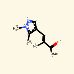 COC(=O)/C(C#N)=C/c1cnn(C)c1C